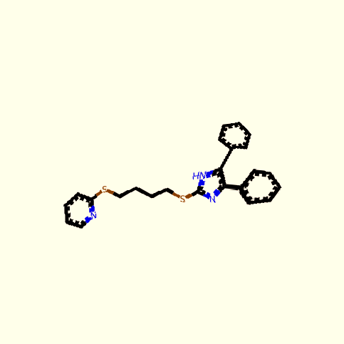 c1ccc(-c2nc(SCCCCSc3ccccn3)[nH]c2-c2ccccc2)cc1